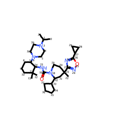 CC(C)N1CCN(C2CCCC(C)(C)C2NC(=O)N2CCC(C)(c3noc(C4CC4)n3)CC2C2CCCC2)CC1